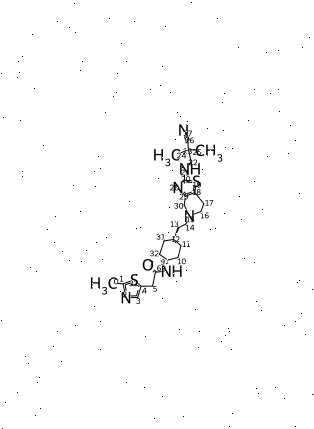 Cc1ncc(CC(=O)N[C@H]2CC[C@H](CCN3CCc4sc(NCC(C)(C)C#N)nc4C3)CC2)s1